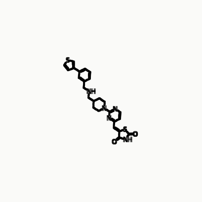 O=C1NC(=O)/C(=C/c2ccnc(N3CCC(CNCc4cccc(-c5ccsc5)c4)CC3)n2)S1